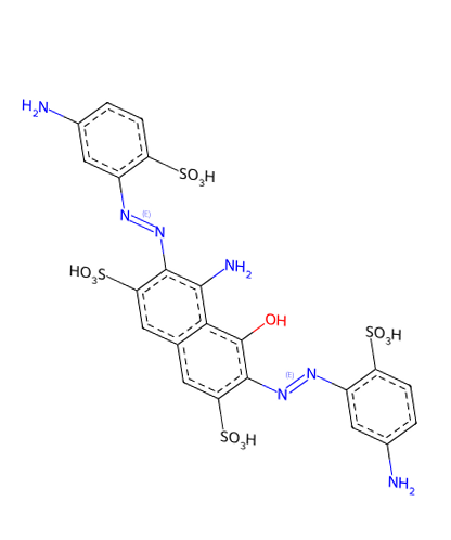 Nc1ccc(S(=O)(=O)O)c(/N=N/c2c(S(=O)(=O)O)cc3cc(S(=O)(=O)O)c(/N=N/c4cc(N)ccc4S(=O)(=O)O)c(O)c3c2N)c1